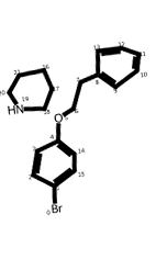 Brc1ccc(OCCc2ccccc2)cc1.C1CCNCC1